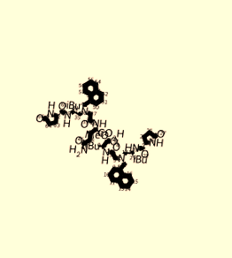 CCCC[C@H](NC(=O)CN(Cc1cccc2ccccc12)C[C@@H](NC(=O)[C@@H]1CCC(=O)N1)[C@@H](C)CC)C(=O)OC.CC[C@H](C)[C@@H](CN(CC(=O)N[C@@H](CCC(N)=O)C(=O)O)Cc1cccc2ccccc12)NC(=O)[C@@H]1CCC(=O)N1